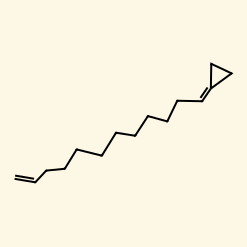 C=CCCCCCCCCCC=C1CC1